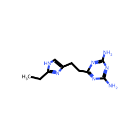 CCc1nc(CCc2nc(N)nc(N)n2)c[nH]1